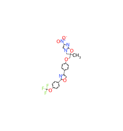 CC1(COc2ccc(-c3coc(-c4ccc(OC(F)(F)F)cc4)n3)cc2)Cn2cc([N+](=O)[O-])nc2O1